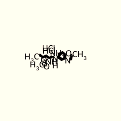 CCCCC(NS(C)(=O)=O)C(N)Nc1ccc2c(c1)N=CC(C)O2.Cl.Cl